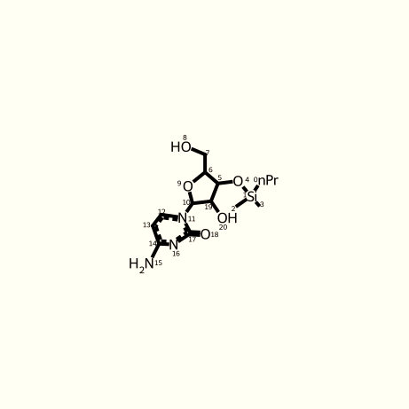 CCC[Si](C)(C)OC1C(CO)OC(n2ccc(N)nc2=O)C1O